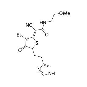 CCN1C(=O)C(CCc2c[nH]cn2)S/C1=C(/C#N)C(=O)NCCOC